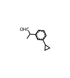 CC(C=O)c1cccc(C2CC2)c1